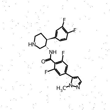 Cn1nccc1-c1cc(F)c(C(=O)N[C@@H]2CNCC[C@H]2c2ccc(F)c(F)c2)c(F)c1